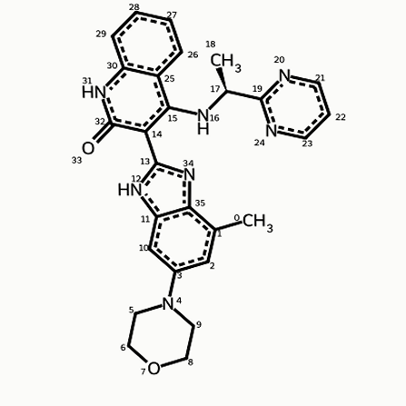 Cc1cc(N2CCOCC2)cc2[nH]c(-c3c(N[C@@H](C)c4ncccn4)c4ccccc4[nH]c3=O)nc12